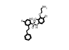 CCc1ccc(NS(=O)(=O)c2ccc(F)cc2CCc2ccccc2)c(C(=O)O)c1OCCN